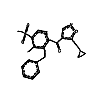 Cc1c(S(C)(=O)=O)ccc(C(=O)c2cnoc2C2CC2)c1Cc1ccccc1